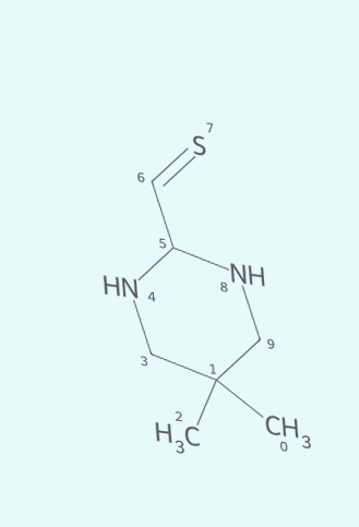 CC1(C)CNC(C=S)NC1